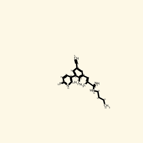 C#Cc1cc(/C=C(\C)C(=N)NCCCC)c(C)c(-c2ccc(F)nc2)c1